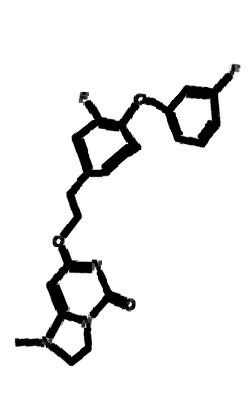 CN1CCn2c1cc(OCCc1ccc(Oc3cccc(F)c3)c(F)c1)nc2=O